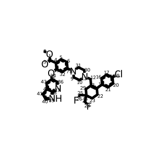 COC(=O)c1ccc(N2CCN(CC3=C(c4ccc(Cl)cc4)CCC(CF)(CF)C3)CC2)cc1Oc1cnc2[nH]ccc2c1